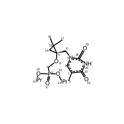 Cc1cn(C[C@@]2(OCP(=O)(OC(C)C)OC(C)C)CC2(C)C)c(=O)[nH]c1=O